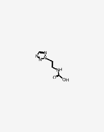 O=C(O)NCCn1ncnn1